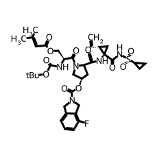 C=C[C@@H]1C[C@]1(NC(=O)C1C[C@@H](OC(=O)N2Cc3cccc(F)c3C2)CN1C(=O)[C@H](COC(=O)C=C(C)C)NC(=O)OC(C)(C)C)C(=O)NS(=O)(=O)C1CC1